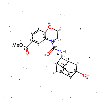 COC(=O)c1ccc2c(c1)N(C(=O)NC1C3CC4CC1CC(O)(C4)C3)CCO2